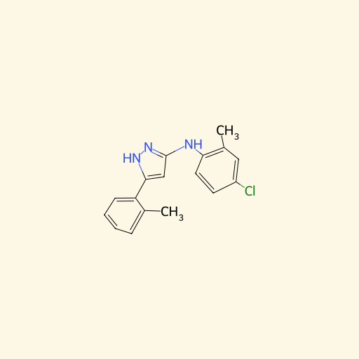 Cc1cc(Cl)ccc1Nc1cc(-c2ccccc2C)[nH]n1